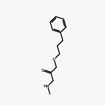 CNCC(=O)COCCCc1ccccc1